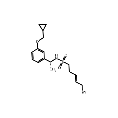 CC(C)C/C=C/CCS(=O)(=O)N[C@H](C)c1cccc(OCC2CC2)c1